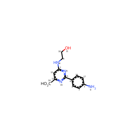 Nc1ccc(-c2nc(NCCO)cc(C(=O)O)n2)cc1